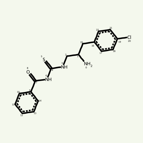 NC(CNC(=S)NC(=O)c1ccccc1)Cc1ccc(Cl)cc1